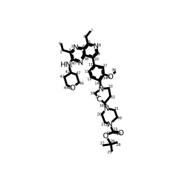 CCc1nc2c(CC)ncc(-c3ccc(N4CCC(N5CCN(C(=O)OC(C)(C)C)CC5)CC4)c(OC)c3)c2nc1NC1CCOCC1